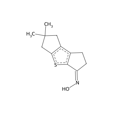 CC1(C)Cc2sc3c(c2C1)CCC3=NO